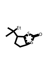 CCC(C)(C)C1CCc2sc(=O)sc21